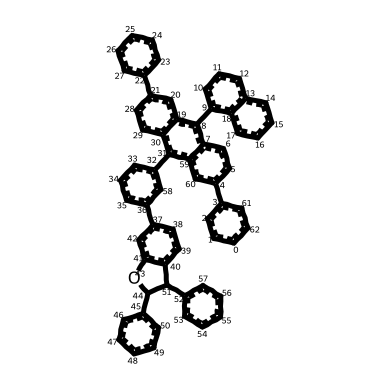 c1ccc(-c2ccc3c(-c4cccc5ccccc45)c4cc(-c5ccccc5)ccc4c(-c4cccc(-c5ccc6c(c5)OC(c5ccccc5)C6c5ccccc5)c4)c3c2)cc1